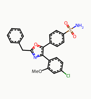 COc1cc(Cl)ccc1-c1nc(Cc2ccccc2)oc1-c1ccc(S(N)(=O)=O)cc1